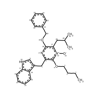 CCCCOc1c(Cc2c[nH]c3ccccc23)nc(OCc2ccccc2)c(CC(C)C)[n+]1[O-]